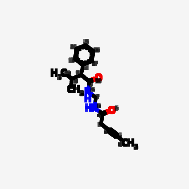 CC#CCC(=O)NCNC(=O)C(c1ccccc1)C(C)C